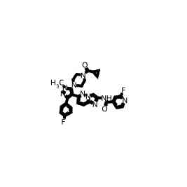 Cn1nc(-c2ccc(F)cc2)c(-c2ccc3nc(NC(=O)c4ccnc(F)c4)cn3n2)c1N1CCN(C(=O)C2CC2)CC1